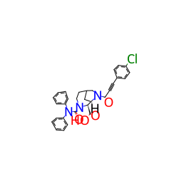 O=C(O)[C@@H]1[C@H]2CC(CCN1C(=O)N(c1ccccc1)c1ccccc1)CN2C(=O)C#Cc1ccc(Cl)cc1